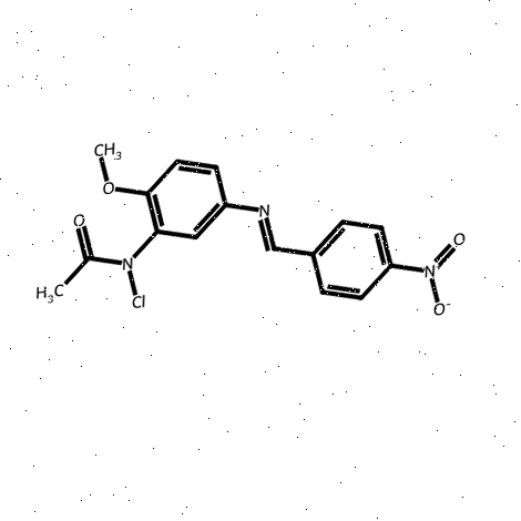 COc1ccc(N=Cc2ccc([N+](=O)[O-])cc2)cc1N(Cl)C(C)=O